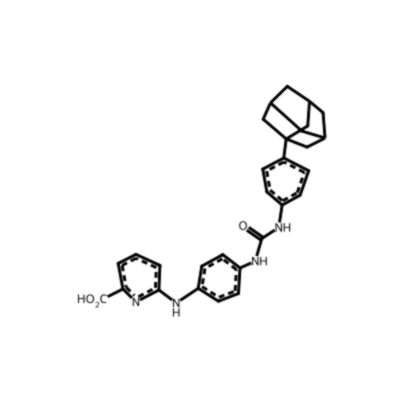 O=C(Nc1ccc(Nc2cccc(C(=O)O)n2)cc1)Nc1ccc(C23CC4CC(CC(C4)C2)C3)cc1